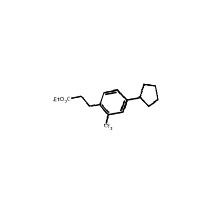 CCOC(=O)CCc1ccc(C2CCCC2)cc1C(F)(F)F